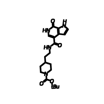 CC(C)(C)OC(=O)N1CCC(CCNC(=O)c2c[nH]c(=O)c3[nH]ccc23)CC1